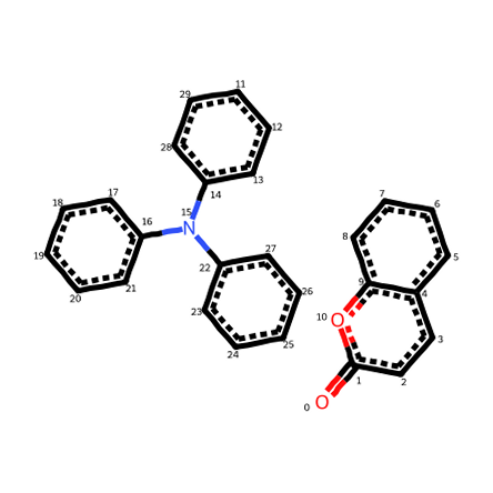 O=c1ccc2ccccc2o1.c1ccc(N(c2ccccc2)c2ccccc2)cc1